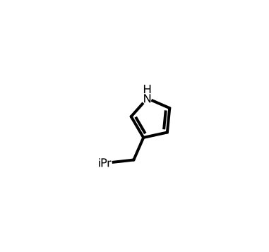 [CH2]C(C)Cc1cc[nH]c1